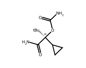 CC(C)(C)[C@@](OC(N)=O)(C(N)=O)C1CC1